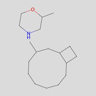 CC1CCCCCCC2CCC2C1.CC1CNCCO1